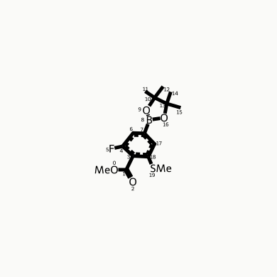 COC(=O)c1c(F)cc(B2OC(C)(C)C(C)(C)O2)cc1SC